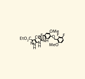 CCOC(=O)c1n[nH]c(NC(=O)Nc2cc(OCc3c(OC)ccc(F)c3F)c(OC)cc2F)c1C(=O)OCC